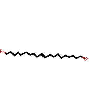 BrCCCCCCCCCC=CCCCCCCCCCBr